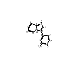 Brc1cc(-c2nnc3ccccn23)ccn1